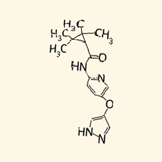 CC1(C)C(C(=O)Nc2ccc(Oc3cn[nH]c3)cn2)C1(C)C